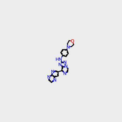 c1cn2nc(Nc3ccc(N4CCOCC4)cc3)nc2c(-c2cnc3nccnc3c2)n1